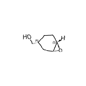 OC[C@@H]1CC[C@@H]2OC2C1